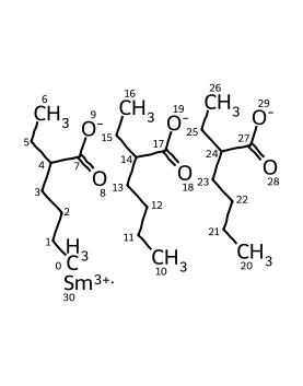 CCCCC(CC)C(=O)[O-].CCCCC(CC)C(=O)[O-].CCCCC(CC)C(=O)[O-].[Sm+3]